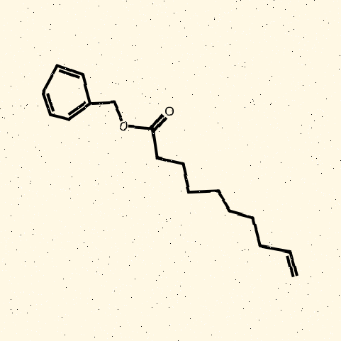 C=CCCCCCCCC(=O)OCc1ccccc1